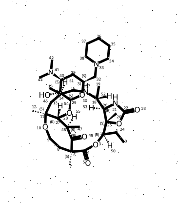 CC[C@H]1OC(=O)[C@@]2(C)CCO[C@@](C)(C[C@@H](C)CN[C@H](C)[C@H]3NC(=O)O[C@@]31C)[C@H](O[C@@H]1O[C@H](CN3CCCCC3)C[C@H](N(C)C)[C@H]1O)[C@@H](C)C2=O